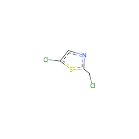 ClCc1ncc(Cl)s1